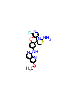 COc1cnc2c(Nc3ccc4c(c3)C3(CCSC(N)=N3)c3ccnc(F)c3O4)nccc2c1